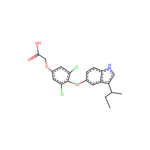 CCC(C)c1c[nH]c2ccc(Oc3c(Cl)cc(OCC(=O)O)cc3Cl)cc12